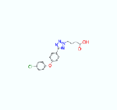 O=C(O)CCCn1nnc(-c2ccc(Oc3ccc(Cl)cc3)cc2)n1